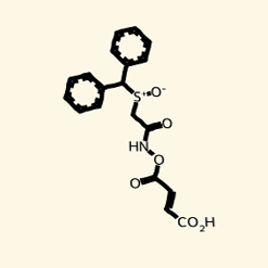 O=C(O)/C=C/C(=O)ONC(=O)C[S+]([O-])C(c1ccccc1)c1ccccc1